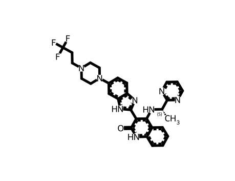 C[C@H](Nc1c(-c2nc3ccc(N4CCN(CCC(F)(F)F)CC4)cc3[nH]2)c(=O)[nH]c2ccccc12)c1ncccn1